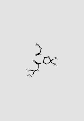 CC(OC(=O)[C@@H]1OC(C)(C)O[C@H]1C(=O)OC(C)(C)C)C(=O)O